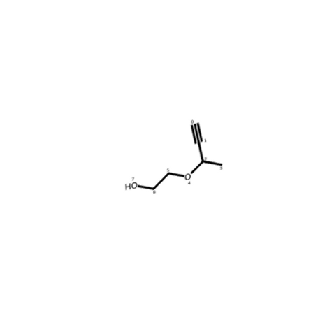 C#CC(C)OCCO